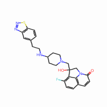 O=c1ccc2ccc(F)c3c2n1CC3(O)CN1CCC(NCCc2ccc3snnc3c2)CC1